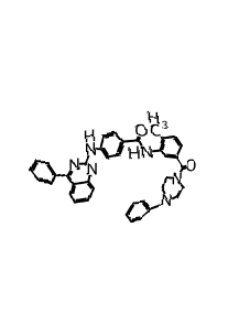 Cc1ccc(C(=O)N2CCN(Cc3ccccc3)CC2)cc1NC(=O)c1ccc(Nc2nc(-c3ccccc3)c3ccccc3n2)cc1